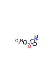 CCN(C)C1CCN(C(=O)c2ccc([N+](=O)[O-])cc2)c2ccccc21